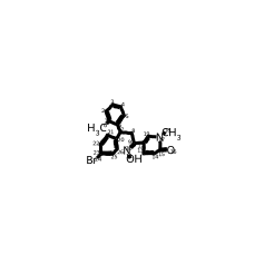 Cc1ccccc1C(CC(=NO)c1ccc(=O)n(C)c1)c1ccc(Br)cc1